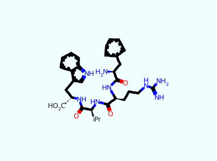 CC(C)[C@H](NC(=O)[C@H](CCCNC(=N)N)NC(=O)[C@@H](N)Cc1ccccc1)C(=O)N[C@@H](Cc1c[nH]c2ccccc12)C(=O)O